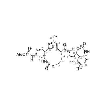 COC(=O)Nc1ccc2c(c1)NC(=O)CCCCC(C(=O)N1CC[C@@]3(C1)OC(=O)Nc1ccc(Cl)c(F)c13)c1cc-2nc(C(C)C)c1